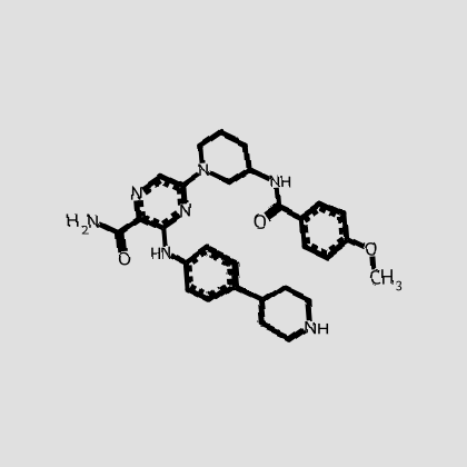 COc1ccc(C(=O)NC2CCCN(c3cnc(C(N)=O)c(Nc4ccc(C5CCNCC5)cc4)n3)C2)cc1